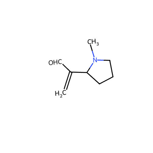 C=C(C=O)C1CCCN1C